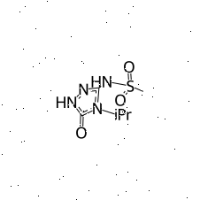 CC(C)n1c(NS(C)(=O)=O)n[nH]c1=O